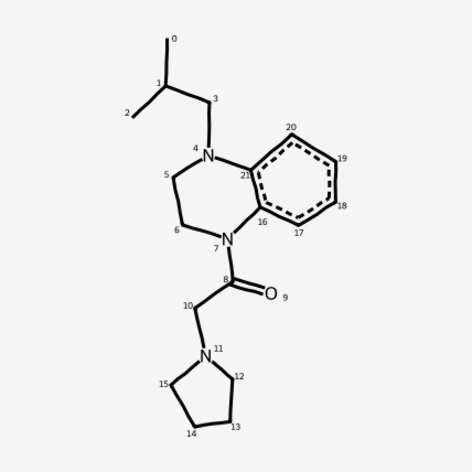 CC(C)CN1CCN(C(=O)CN2CCCC2)c2ccccc21